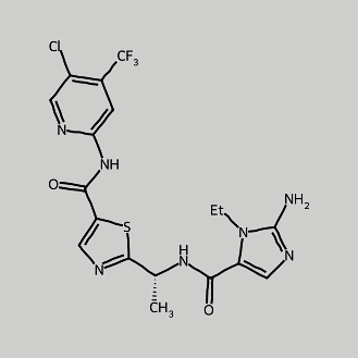 CCn1c(C(=O)N[C@H](C)c2ncc(C(=O)Nc3cc(C(F)(F)F)c(Cl)cn3)s2)cnc1N